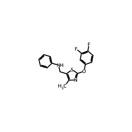 Cc1nc(Oc2ccc(F)c(F)c2)sc1CNc1ccccc1